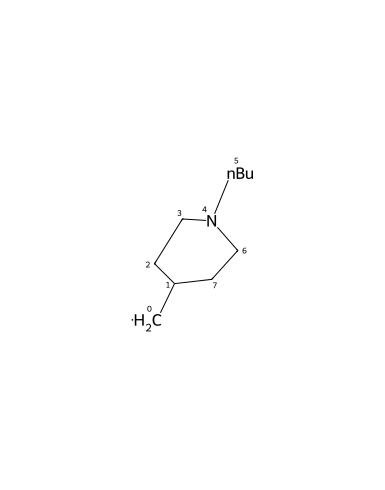 [CH2]C1CCN(CCCC)CC1